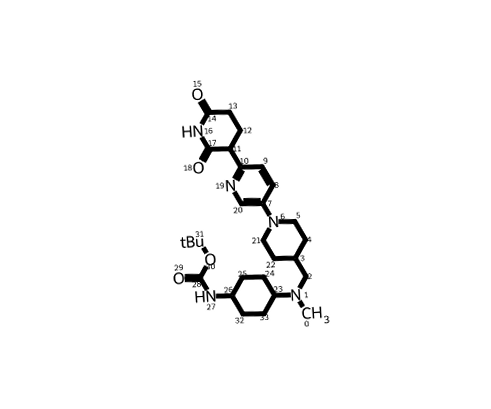 CN(CC1CCN(c2ccc(C3CCC(=O)NC3=O)nc2)CC1)C1CCC(NC(=O)OC(C)(C)C)CC1